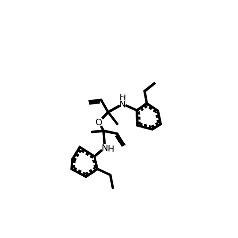 C=CC(C)(Nc1ccccc1CC)OC(C)(C=C)Nc1ccccc1CC